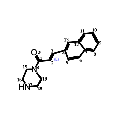 O=C(/C=C/c1ccc2ccccc2c1)N1CCNCC1